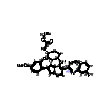 COc1cc(C)c(-c2cc3c(N[C@H]4CC[C@H](NC(=O)OC(C)(C)C)CC4)c(/C(N)=N/c4cc(F)ccc4Cl)cnn3c2)cn1